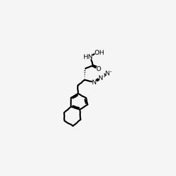 [N-]=[N+]=N[C@@H](CC(=O)NO)Cc1ccc2c(c1)CCCC2